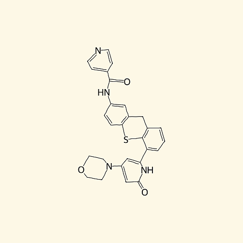 O=C(Nc1ccc2c(c1)Cc1cccc(-c3cc(N4CCOCC4)cc(=O)[nH]3)c1S2)c1ccncc1